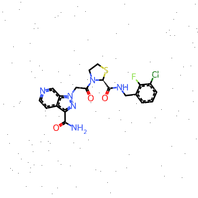 NC(=O)c1nn(CC(=O)N2CCS[C@H]2C(=O)NCc2cccc(Cl)c2F)c2cnccc12